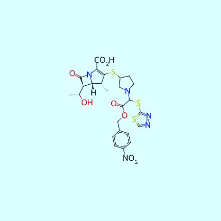 C[C@@H](O)[C@H]1C(=O)N2C(C(=O)O)=C(SC3CCN(C(Sc4nncs4)C(=O)OCc4ccc([N+](=O)[O-])cc4)C3)[C@H](C)[C@H]12